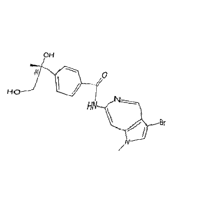 Cn1cc(Br)c2cnc(NC(=O)c3ccc([C@@](C)(O)CO)cc3)cc21